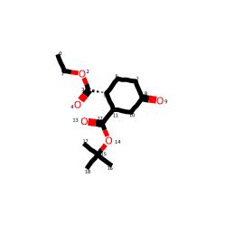 CCOC(=O)[C@@H]1CCC(=O)CC1C(=O)OC(C)(C)C